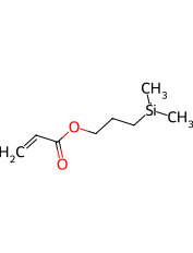 C=CC(=O)OCCC[Si](C)C